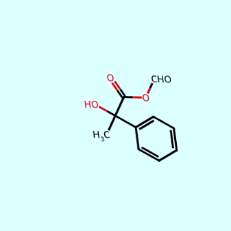 CC(O)(C(=O)OC=O)c1ccccc1